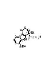 CCCCc1cccc2c3c([nH]c12)C(CC)(CC(=O)O)OCC3